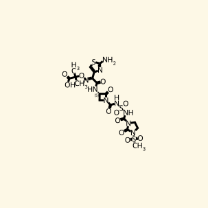 CC(C)(ON=C(C(=O)N[C@H]1CN(C(=O)NS(=O)(=O)NC(=O)N2CCN(S(C)(=O)=O)C2=O)C1=O)c1csc(N)n1)C(=O)O